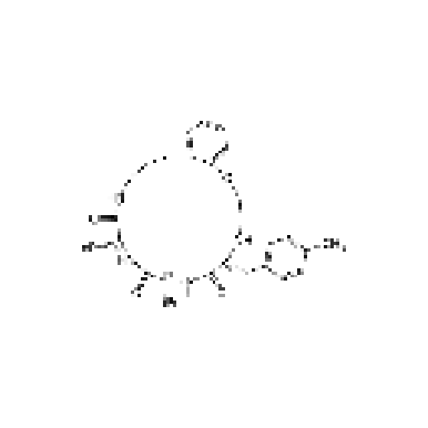 CCC[C@@H]1NC(=O)[C@@H](C(C)C)NC(=O)[C@@H](Cc2ccc(C)cc2)NCCOc2ccccc2CCCNC1=O